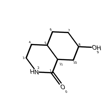 O=C1NCCC2CCC(O)CC12